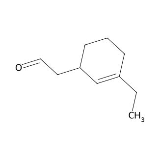 CCC1=CC(CC=O)CCC1